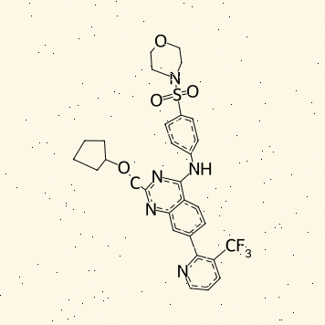 O=S(=O)(c1ccc(Nc2nc(COC3CCCC3)nc3cc(-c4ncccc4C(F)(F)F)ccc23)cc1)N1CCOCC1